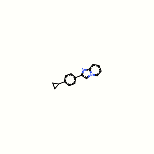 c1ccn2cc(-c3ccc(C4CC4)cc3)nc2c1